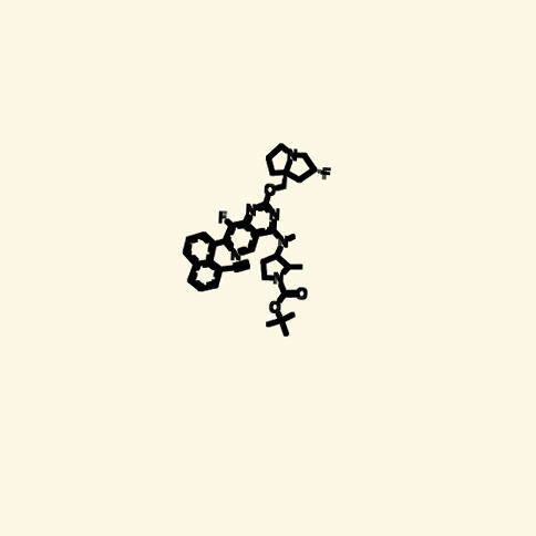 C#Cc1cccc2cccc(-c3ncc4c(N(C)C5CCN(C(=O)OC(C)(C)C)C5C)nc(OC[C@@]56CCCN5C[C@H](F)C6)nc4c3F)c12